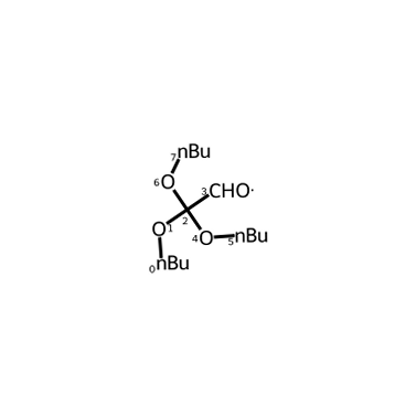 CCCCOC([C]=O)(OCCCC)OCCCC